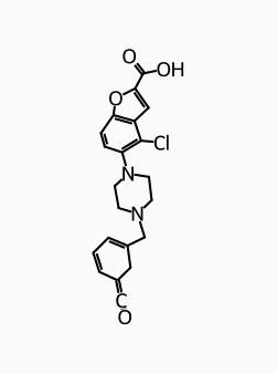 O=C=C1C=CC=C(CN2CCN(c3ccc4oc(C(=O)O)cc4c3Cl)CC2)C1